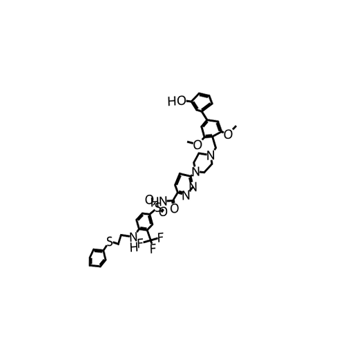 COc1cc(-c2cccc(O)c2)cc(OC)c1CN1CCN(c2ccc(C(=O)NS(=O)(=O)c3ccc(NCCSc4ccccc4)c(C(F)(F)F)c3)nn2)CC1